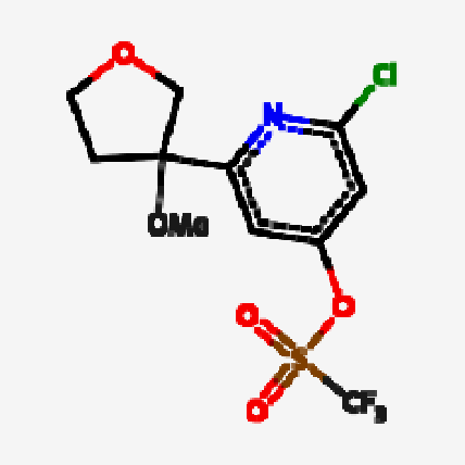 COC1(c2cc(OS(=O)(=O)C(F)(F)F)cc(Cl)n2)CCOC1